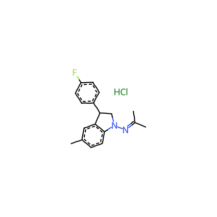 CC(C)=NN1CC(c2ccc(F)cc2)c2cc(C)ccc21.Cl